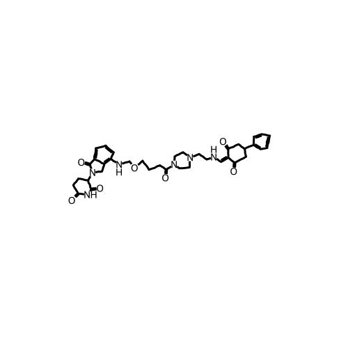 O=C1CCC(N2Cc3c(NCOCCCC(=O)N4CCN(CCNC=C5C(=O)CC(c6ccccc6)CC5=O)CC4)cccc3C2=O)C(=O)N1